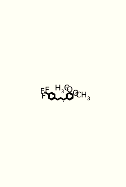 COc1ccc([CH]CCc2ccc(C(F)(F)F)cc2)cc1OC